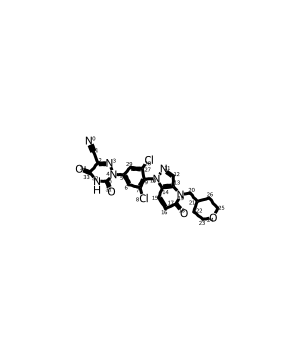 N#Cc1nn(-c2cc(Cl)c(-n3ncc4c3ccc(=O)n4CC3CCOCC3)c(Cl)c2)c(=O)[nH]c1=O